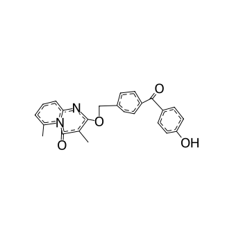 Cc1c(OCc2ccc(C(=O)c3ccc(O)cc3)cc2)nc2cccc(C)n2c1=O